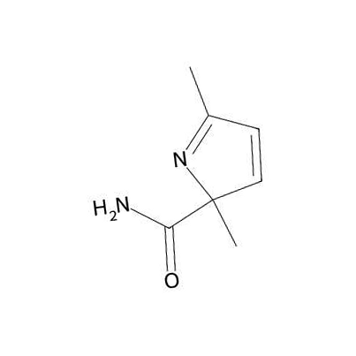 CC1=NC(C)(C(N)=O)C=C1